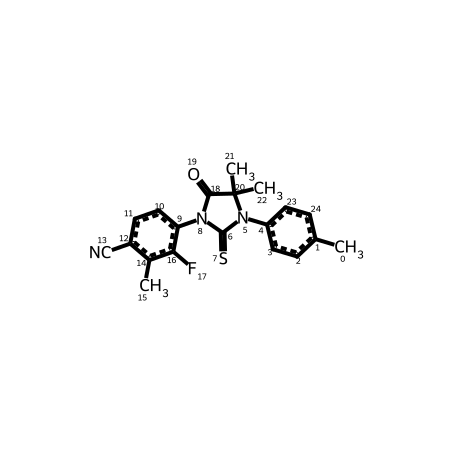 Cc1ccc(N2C(=S)N(c3ccc(C#N)c(C)c3F)C(=O)C2(C)C)cc1